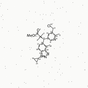 COC(=O)C(C)(C)[C@@H](c1cnc(C)c(CCl)c1)c1ccc2c(nnn2C2CC2)c1C